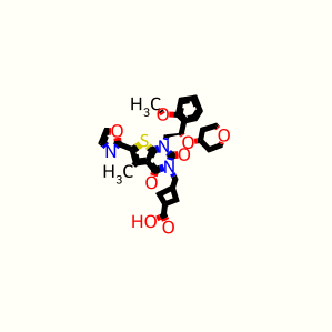 COc1ccccc1[C@H](Cn1c(=O)n(CC2CC(C(=O)O)C2)c(=O)c2c(C)c(-c3ncco3)sc21)OC1CCOCC1